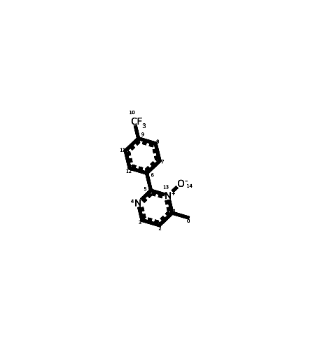 Cc1ccnc(-c2ccc(C(F)(F)F)cc2)[n+]1[O-]